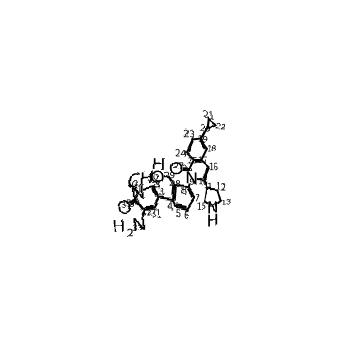 Cn1cc(-c2cccc(-n3c(C4CCNC4)cc4cc(C5CC5)ccc4c3=O)c2CO)cc(N)c1=O